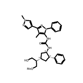 COCC(CO)[C@@H]1C[C@@H](NC(=O)Nc2c(C)c(-c3cnn(C)c3)nn2-c2ccccc2)[C@H](c2ccccc2)C1